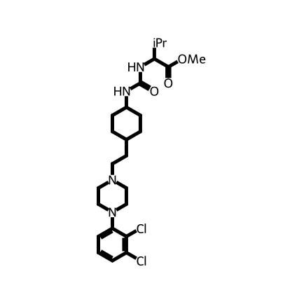 COC(=O)C(NC(=O)NC1CCC(CCN2CCN(c3cccc(Cl)c3Cl)CC2)CC1)C(C)C